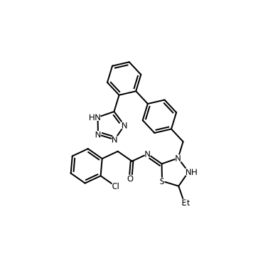 CCC1NN(Cc2ccc(-c3ccccc3-c3nnn[nH]3)cc2)C(=NC(=O)Cc2ccccc2Cl)S1